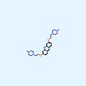 CN1CCN(CCOc2ccc3cc4ccc(OCCN5CCN(C)CC5)cc4nc3c2)CC1